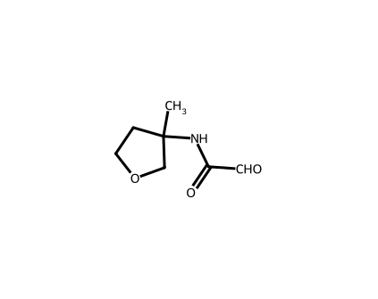 CC1(NC(=O)C=O)CCOC1